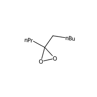 CCCCCC1(CCC)OO1